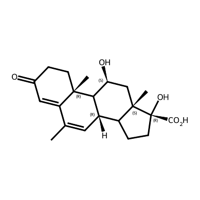 CC1=C[C@@H]2C([C@@H](O)C[C@@]3(C)C2CC[C@]3(O)C(=O)O)[C@@]2(C)CCC(=O)C=C12